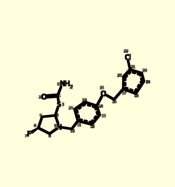 NC(=O)SC1C[C@H](F)CN1Cc1ccc(OCc2cccc(Cl)c2)cc1